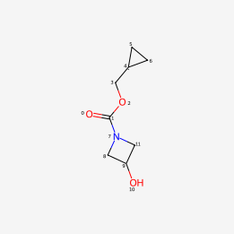 O=C(OC[C]1CC1)N1CC(O)C1